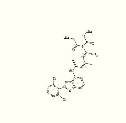 C=C(/C=C(C)\N=C(/N)N(C(=O)OC(C)(C)C)C(=O)OC(C)(C)C)Nc1nccc2nn(-c3c(Cl)cccc3Cl)cc12